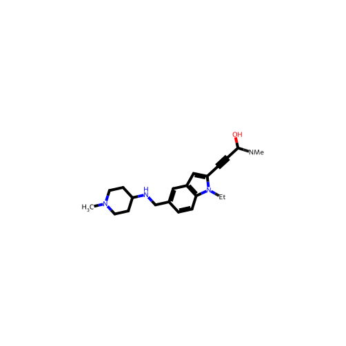 CCn1c(C#CC(O)NC)cc2cc(CNC3CCN(C)CC3)ccc21